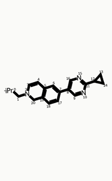 C[C](C)CN1C=Cc2cc(-c3cnc(C4CC4)nc3)ccc2C1